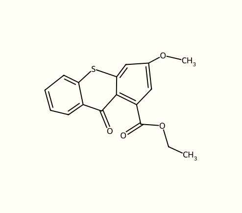 CCOC(=O)c1cc(OC)cc2sc3ccccc3c(=O)c12